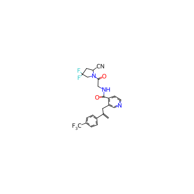 C=C(Cc1cnccc1C(=O)NCC(=O)N1CC(F)(F)CC1C#N)c1ccc(C(F)(F)F)cc1